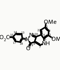 COc1cc(OC)c2[nH]cc3c(=O)n(-c4ccc(C(=O)O)cc4)nc-3c2c1